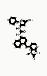 Cn1c(=O)[nH]c2nccc(Cc3ccc(NC(=O)Nc4cc(C(C)(C)C)nn4-c4ccccc4)c4ccccc34)c21